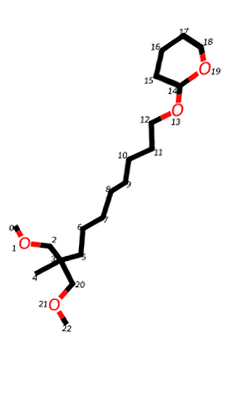 COCC(C)(CCCCCCCCOC1CCCCO1)COC